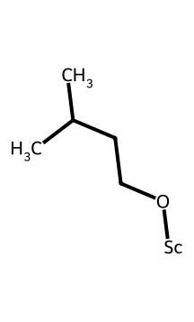 CC(C)CC[O][Sc]